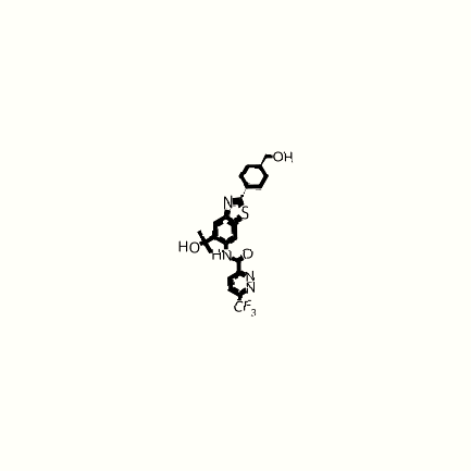 CC(C)(O)c1cc2nc([C@H]3CC[C@H](CO)CC3)sc2cc1NC(=O)c1ccc(C(F)(F)F)nn1